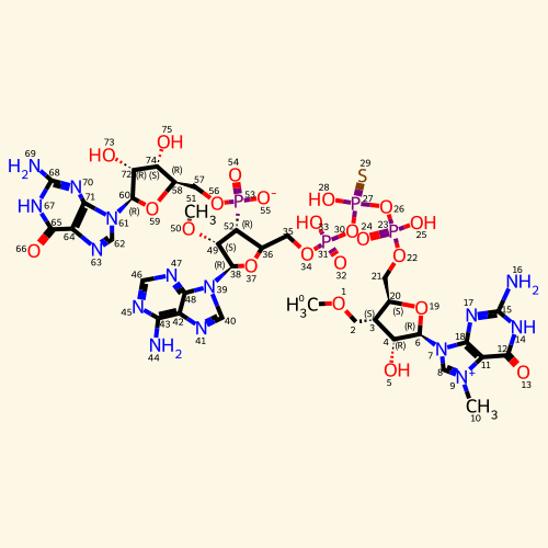 COC[C@H]1[C@@H](O)[C@H](n2c[n+](C)c3c(=O)[nH]c(N)nc32)O[C@@H]1COP(=O)(O)OP(O)(=S)OP(=O)(O)OCC1O[C@@H](n2cnc3c(N)ncnc32)[C@H](OC)[C@@H]1P(=O)([O-])OC[C@H]1O[C@@H](n2cnc3c(=O)[nH]c(N)nc32)[C@H](O)[C@@H]1O